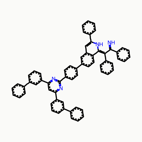 N=C(/C(=C1\NC(c2ccccc2)=Cc2cc(-c3ccc(-c4nc(-c5cccc(-c6ccccc6)c5)cc(-c5cccc(-c6ccccc6)c5)n4)cc3)ccc21)c1ccccc1)c1ccccc1